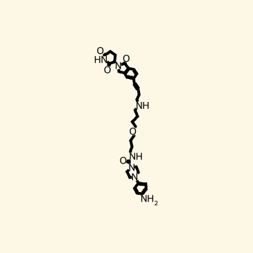 Nc1ccc(N2CCN(C(=O)NCCCCOCCCCNCCC#Cc3ccc4c(c3)CN(C3CCC(=O)NC3=O)C4=O)CC2)cc1